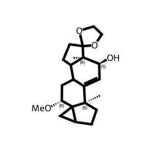 CO[C@@H]1CC2C(=C[C@H](O)[C@@]3(C)C2CCC32OCCO2)[C@@]2(C)CCC3CC312